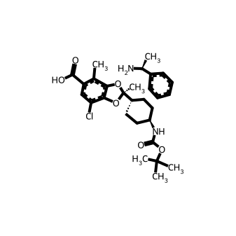 C[C@H](N)c1ccccc1.Cc1c(C(=O)O)cc(Cl)c2c1O[C@@](C)([C@H]1CC[C@H](NC(=O)OC(C)(C)C)CC1)O2